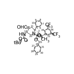 C[C@@H](OC[C@@]1(c2ccccc2)CC(C=O)C(NC(=O)OC(C)(C)C)CN1C(=O)OCc1ccccc1)c1cc(C(F)(F)F)cc(C(F)(F)F)c1